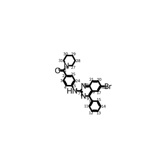 O=C(c1ccc(Nc2nc(-c3ccccc3)c3cc(Br)ccc3n2)cc1)N1CCCCC1